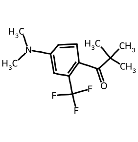 CN(C)c1ccc(C(=O)C(C)(C)C)c(C(F)(F)F)c1